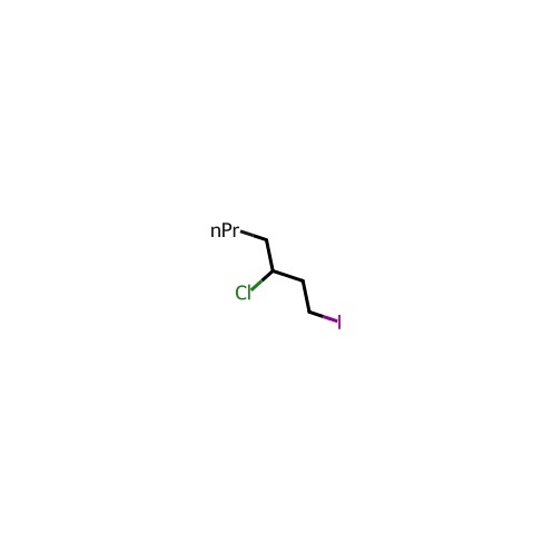 CCCCC(Cl)CCI